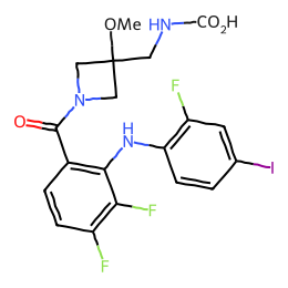 COC1(CNC(=O)O)CN(C(=O)c2ccc(F)c(F)c2Nc2ccc(I)cc2F)C1